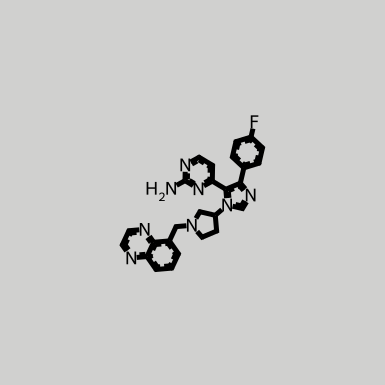 Nc1nccc(-c2c(-c3ccc(F)cc3)ncn2C2CCN(Cc3cccc4nccnc34)C2)n1